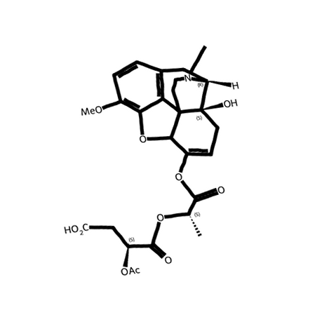 COc1ccc2c3c1OC1C(OC(=O)[C@H](C)OC(=O)[C@H](CC(=O)O)OC(C)=O)=CC[C@@]4(O)[C@@H](C2)N(C)CCC314